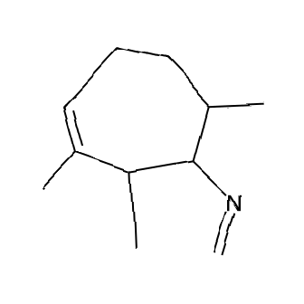 C=NC1C(C)CCC=C(C)C1C